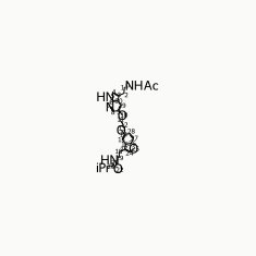 CC(=O)NCCc1c[nH]c2ncc(OCCOC3=CC4C(CCNC(=O)C(C)C)=COC4C=C3)cc12